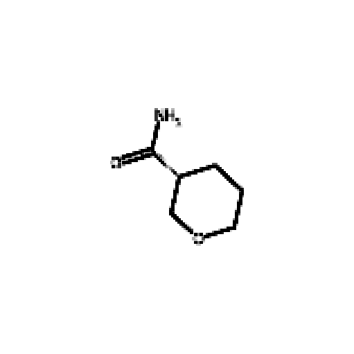 NC(=O)[C@@H]1CCCOC1